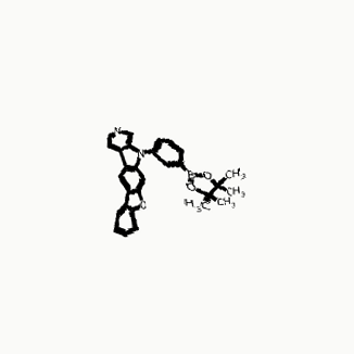 CC1(C)OB(c2cccc(-n3c4cnccc4c4cc5c(cc43)oc3ccccc35)c2)OC1(C)C